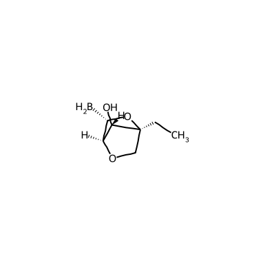 B[C@@H]1O[C@@]2(CC)CO[C@@H]1[C@@H]2O